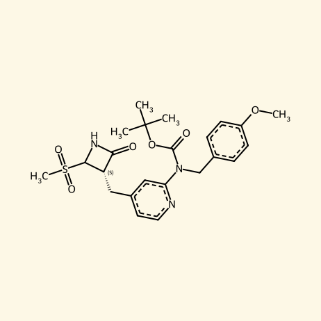 COc1ccc(CN(C(=O)OC(C)(C)C)c2cc(C[C@H]3C(=O)NC3S(C)(=O)=O)ccn2)cc1